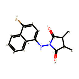 CC1C(=O)N(Nc2ccc(Br)c3ccccc23)C(=O)C1C